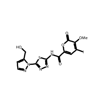 COc1c(I)cc(C(=O)Nc2nnc(-n3nccc3CO)s2)oc1=O